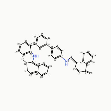 C=C(/C=C\C=C/Nc1ccc(-c2cccc(-c3ccccc3NC3=c4ccccc4=CCC3C)c2)cc1)c1ccccc1